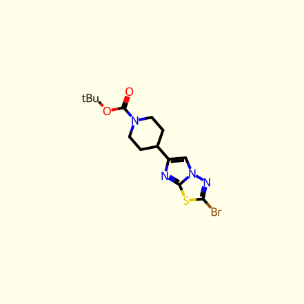 CC(C)(C)OC(=O)N1CCC(c2cn3nc(Br)sc3n2)CC1